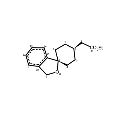 CCOC(=O)C[C@H]1CC[C@@]2(CC1)OCc1ccccc12